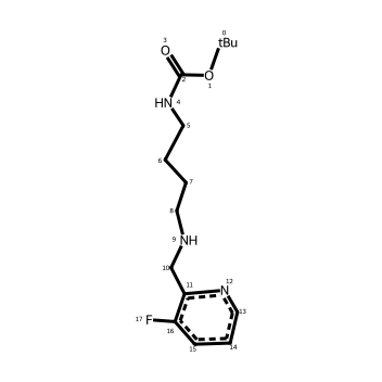 CC(C)(C)OC(=O)NCCCCNCc1ncccc1F